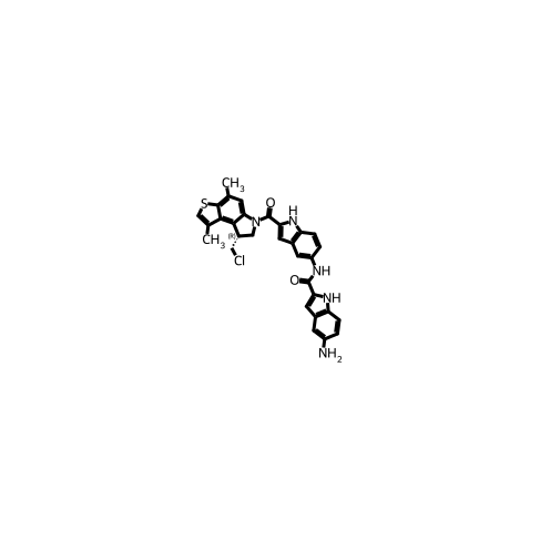 Cc1cc2c(c3c(C)csc13)[C@@H](CCl)CN2C(=O)c1cc2cc(NC(=O)c3cc4cc(N)ccc4[nH]3)ccc2[nH]1